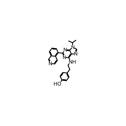 CC(C)n1cnc2c(NCCc3ccc(O)cc3)nc(-c3cccc4cnccc34)nc21